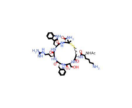 CC(=O)N[C@H](CCCCN)C(=O)N[C@H]1CCSSC(C)(C)[C@@H](C(N)=O)NC(=O)[C@H](Cc2c[nH]c3ccccc23)NC(=O)[C@H](CCCNC(=N)N)NC(=O)[C@@H](Cc2ccccc2)NC(=O)[C@H]([C@@H](C)O)NC1=O